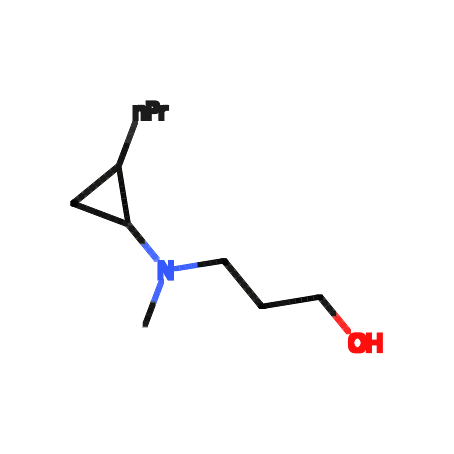 CCCC1CC1N(C)CCCO